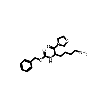 NCCCCC(NC(=O)OCc1ccccc1)C(=O)N1CCSC1